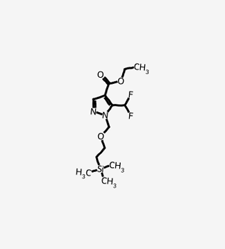 CCOC(=O)c1cnn(COCC[Si](C)(C)C)c1C(F)F